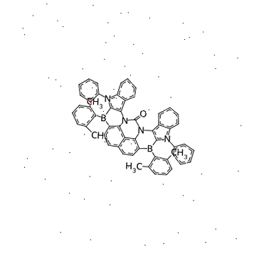 Cc1cccc(C)c1B1c2ccc3ccc4c5c3c2N(C(=O)N5c2c(n(-c3ccccc3)c3ccccc23)B4c2c(C)cccc2C)c2c1n(-c1ccccc1)c1ccccc21